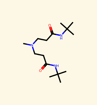 CN(CCC(=O)NC(C)(C)C)CCC(=O)NC(C)(C)C